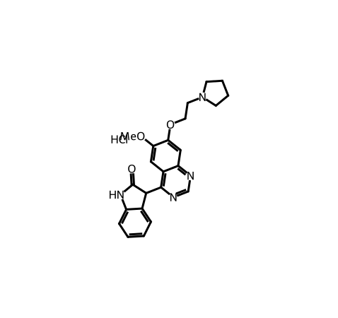 COc1cc2c(C3C(=O)Nc4ccccc43)ncnc2cc1OCCN1CCCC1.Cl